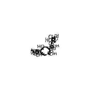 CCc1c(Cl)c(O)c(Cl)c(O)c1C(=O)O[C@@H]1[C@@H](O)[C@@H](OC)[C@@H](O/C2=C/C=C/C[C@@H](O)/C(C)=C/[C@H](CC)[C@@H](O[C@@H]3OC(C)(C)[C@@H](OC(=O)C(C)C)[C@H](O)[C@@H]3O)/C(C)=C/C(C)=C/C[C@@H]([C@@H](C)O)OC2=O)O[C@H]1C